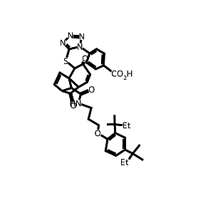 CCC(C)(C)c1ccc(OCCCNC(=O)C2C3C=CC24C(C=CC(=O)C4Sc2nnnn2-c2ccc(C(=O)O)cc2)C3=O)c(C(C)(C)CC)c1